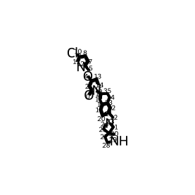 O=c1cc(OCc2ccc(Cl)cn2)ccn1C1=Cc2ccc(CN3CCC4(CCNC4)C3)cc2CC1